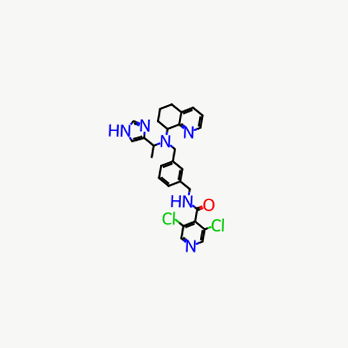 CC(c1c[nH]cn1)N(Cc1cccc(CNC(=O)c2c(Cl)cncc2Cl)c1)C1CCCc2cccnc21